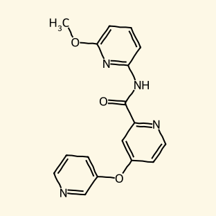 COc1cccc(NC(=O)c2cc(Oc3cccnc3)ccn2)n1